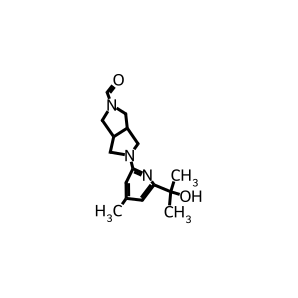 Cc1cc(N2CC3CN(C=O)CC3C2)nc(C(C)(C)O)c1